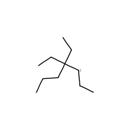 CC[C]C(CC)(CC)CCC